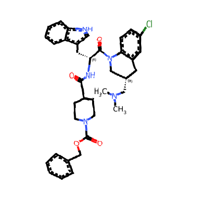 CN(C)C[C@H]1Cc2cc(Cl)ccc2N(C(=O)[C@@H](Cc2c[nH]c3ccccc23)NC(=O)C2CCN(C(=O)OCc3ccccc3)CC2)C1